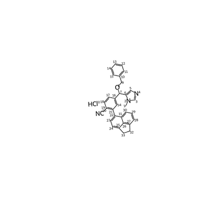 Cl.Cn1cncc1C(OCc1ccccc1)c1ccc(C#N)c(-c2ccc3c4c(cccc24)CC3)c1